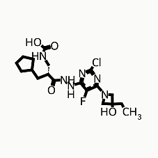 CCC1(O)CN(c2nc(Cl)nc(NNC(=O)[C@@H](CNC(=O)O)CC3CCCC3)c2F)C1